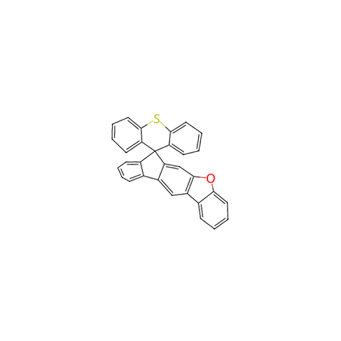 c1ccc2c(c1)Sc1ccccc1C21c2ccccc2-c2cc3c(cc21)oc1ccccc13